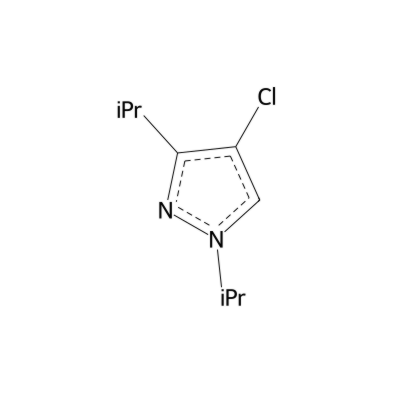 CC(C)c1nn(C(C)C)cc1Cl